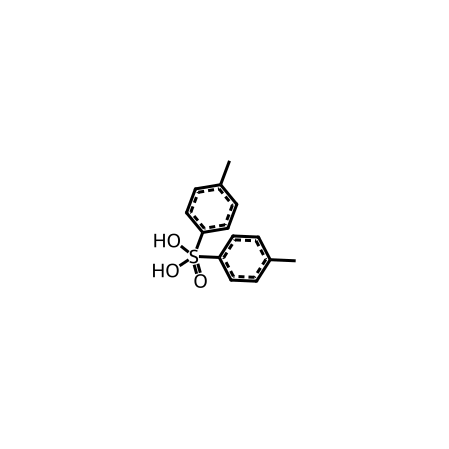 Cc1ccc(S(=O)(O)(O)c2ccc(C)cc2)cc1